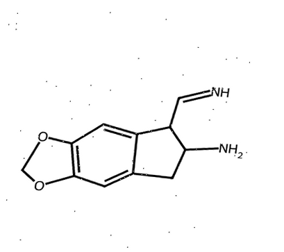 N=CC1c2cc3c(cc2CC1N)OCO3